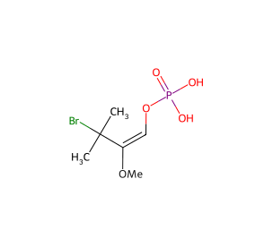 COC(=COP(=O)(O)O)C(C)(C)Br